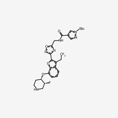 CC(C)(C)n1cc(C(=O)NCc2nc(-c3sc4c(O[C@@H]5CCNC[C@@H]5F)cccc4c3CC(F)(F)F)no2)cn1